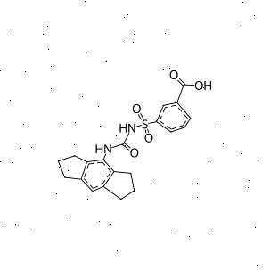 O=C(Nc1c2c(cc3c1CCC3)CCC2)NS(=O)(=O)c1cccc(C(=O)O)c1